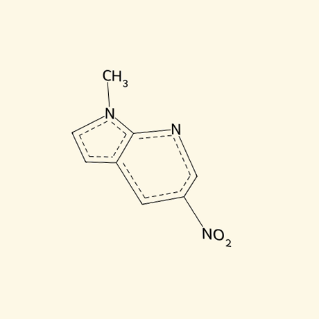 Cn1ccc2cc([N+](=O)[O-])cnc21